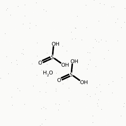 O.O=S(O)O.O=S(O)O